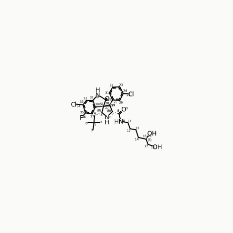 CC(C)(C)C[C@H]1N[C@@H](C(=O)NCCCC[C@@H](O)CO)[C@H](c2cccc(Cl)c2)[C@@]12C(=O)Nc1cc(Cl)c(F)cc12